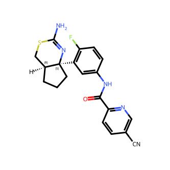 N#Cc1ccc(C(=O)Nc2ccc(F)c([C@]34CCC[C@H]3CSC(N)=N4)c2)nc1